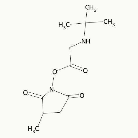 CC1CC(=O)N(OC(=O)CNC(C)(C)C)C1=O